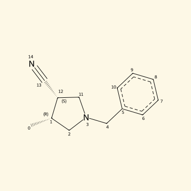 C[C@H]1CN(Cc2ccccc2)C[C@H]1C#N